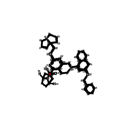 O=C(O)N1[C@@H]2CC[C@H]1CN(c1nc(OCC34CCCN3CCC4)nc3c1CCN(c1cc(OCc4ccccc4)cc4ccccc14)C3)C2